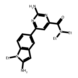 CCN(CC)C(=O)c1cc(-c2ccc3c(c2)cc(N)n3CC)nc(N)n1